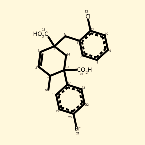 CC1C=CC(Cc2ccccc2Cl)(C(=O)O)CC1(C(=O)O)c1ccc(Br)cc1